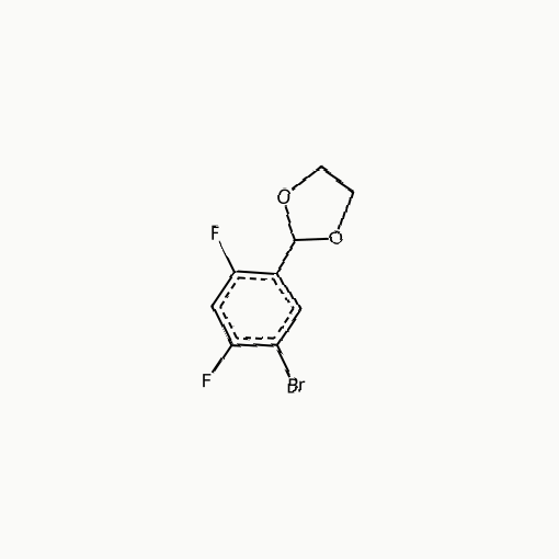 Fc1cc(F)c(C2OCCO2)cc1Br